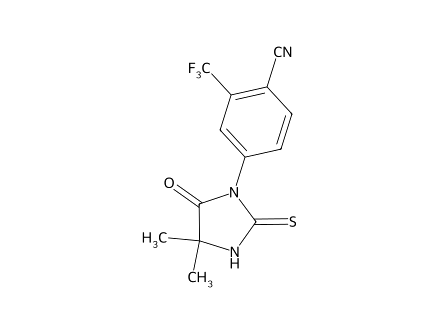 CC1(C)NC(=S)N(c2ccc(C#N)c(C(F)(F)F)c2)C1=O